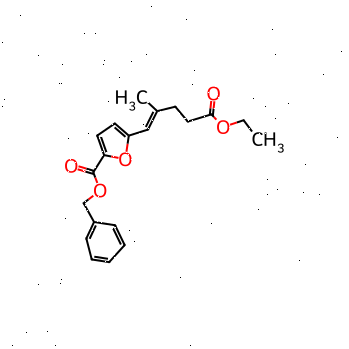 CCOC(=O)CC/C(C)=C/c1ccc(C(=O)OCc2ccccc2)o1